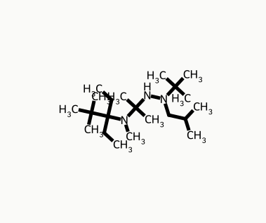 CCC(CC)(N(C)C(C)(C)NN(CC(C)C)C(C)(C)C)C(C)(C)C